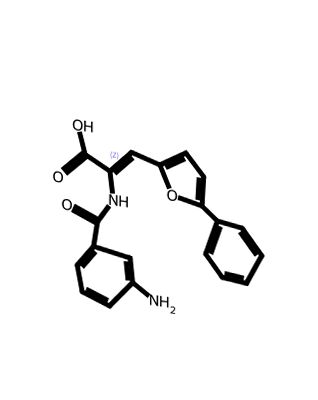 Nc1cccc(C(=O)N/C(=C\c2ccc(-c3ccccc3)o2)C(=O)O)c1